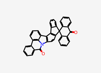 O=C1c2ccccc2C2(c3ccccc31)c1ccccc1-c1c2ccc2c1c1cccc3c4ccccc4c(=O)n2c31